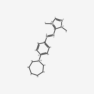 Cn1nc[n+](C)c1N=Nc1ccc(N2CCCCCC2)cc1